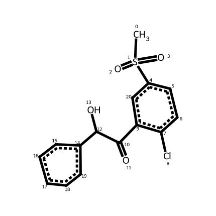 CS(=O)(=O)c1ccc(Cl)c(C(=O)C(O)c2ccccc2)c1